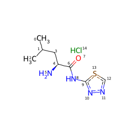 CC(C)C[C@H](N)C(=O)Nc1nncs1.Cl